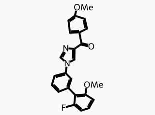 COc1ccc(C(=O)c2cn(-c3cccc(-c4c(F)cccc4OC)c3)cn2)cc1